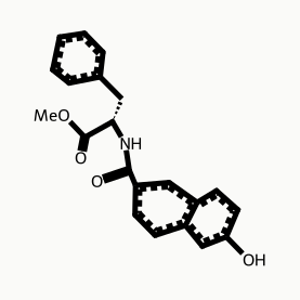 COC(=O)[C@H](Cc1ccccc1)NC(=O)c1ccc2cc(O)ccc2c1